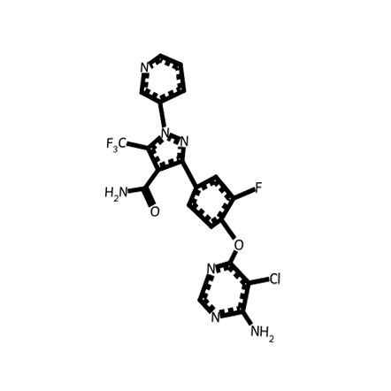 NC(=O)c1c(-c2ccc(Oc3ncnc(N)c3Cl)c(F)c2)nn(-c2cccnc2)c1C(F)(F)F